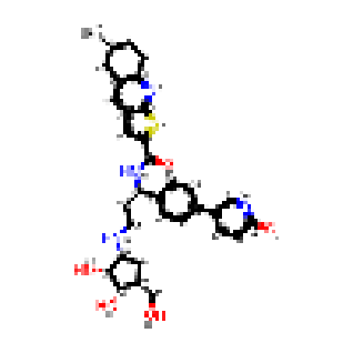 CC(C)(C)[C@H]1CCc2nc3sc(C(=O)N[C@H](CCN[C@H]4C[C@@H](CO)[C@H](O)[C@@H]4O)c4ccc(-c5ccc(=O)[nH]c5)cc4)cc3cc2C1